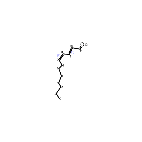 CCCCCCC/C=C\C=C\C=O